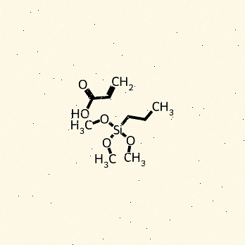 C=CC(=O)O.CCC[Si](OC)(OC)OC